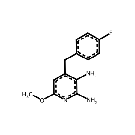 COc1cc(Cc2ccc(F)cc2)c(N)c(N)n1